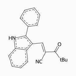 CC(C)(C)C(=O)C(C#N)=Cc1c(-c2ccccc2)[nH]c2ccccc12